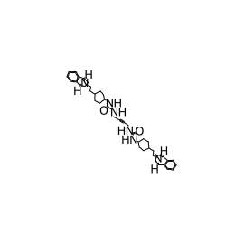 O=C(NCC#CCNC(=O)NC1CCC(CCN2[C@@H]3CC[C@H]2c2ccccc23)CC1)NC1CCC(CCN2[C@@H]3CC[C@H]2c2ccccc23)CC1